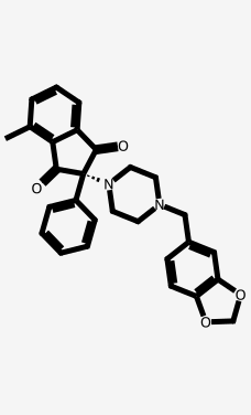 Cc1cccc2c1C(=O)[C@@](c1ccccc1)(N1CCN(Cc3ccc4c(c3)OCO4)CC1)C2=O